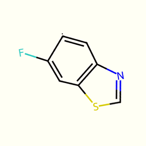 Fc1[c]cc2ncsc2c1